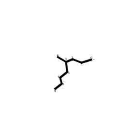 [CH2]C[CH]C(C)CCCC